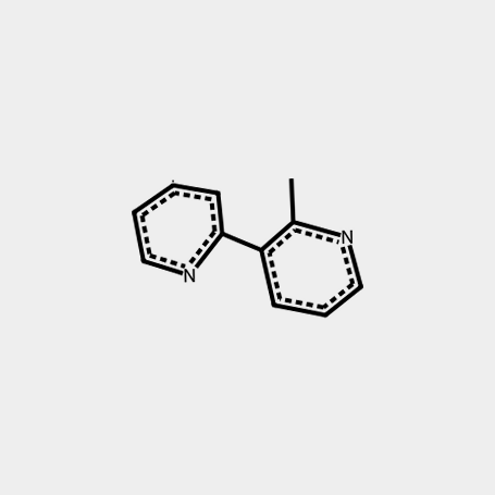 Cc1ncccc1-c1c[c]ccn1